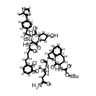 Cc1ncsc1-c1ccc([C@H](C)NC(=O)[C@@H]2C[C@@H](O)CN2C(=O)[C@@H](NC(=O)CCCc2cccc(OC[C@H](CCC(N)=O)NC(=O)[C@@H]3Cc4cccc5c4N3C(=O)[C@@H](NC(=O)OC(C)(C)C)CC5)c2Cl)C(C)(C)C)cc1